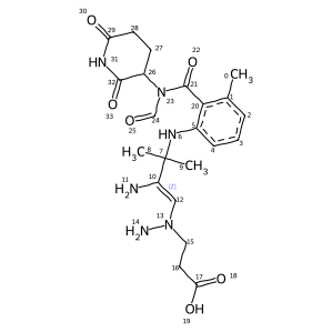 Cc1cccc(NC(C)(C)/C(N)=C/N(N)CCC(=O)O)c1C(=O)N(C=O)C1CCC(=O)NC1=O